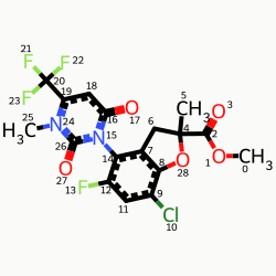 COC(=O)C1(C)Cc2c(c(Cl)cc(F)c2-n2c(=O)cc(C(F)(F)F)n(C)c2=O)O1